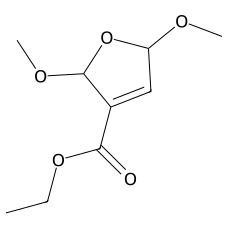 CCOC(=O)C1=CC(OC)OC1OC